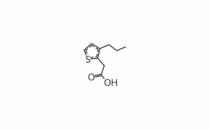 CCCc1ccsc1CC(=O)O